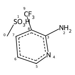 CS(=O)(=O)O.Nc1ncccc1C(F)(F)F